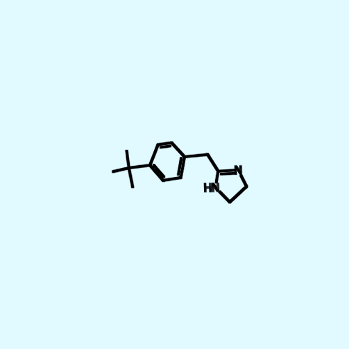 CC(C)(C)c1ccc(CC2=NCCN2)cc1